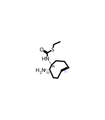 CCSC(=O)N[C@@H]1CC/C=C/CC[C@@H]1N